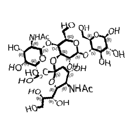 CC(=O)N[C@H]1[C@H](O[C@@H]2[C@H](O[C@]3(C(=O)O)C[C@H](O)[C@@H](NC(C)=O)[C@H]([C@H](O)[C@H](O)CO)O3)[C@@H](O)[C@H](O[C@H]3[C@H](O)[C@@H](O)[C@H](O)O[C@@H]3CO)O[C@@H]2CO)O[C@H](CO)[C@H](O)[C@@H]1O